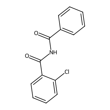 O=C(NC(=O)c1ccccc1Cl)c1ccccc1